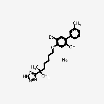 CCc1cc(-c2cccc(C)c2)c(O)cc1OCCCCCC(C)(C)c1nn[nH]n1.[Na]